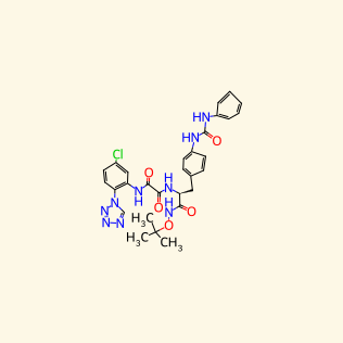 CC(C)(C)ONC(=O)[C@H](Cc1ccc(NC(=O)Nc2ccccc2)cc1)NC(=O)C(=O)Nc1cc(Cl)ccc1-n1cnnn1